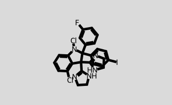 Fc1cccc(C2(c3ccc(I)cc3)N(Cl)c3cccc(Cl)c3C2(C2=NCCN2)C2=NCCN2)c1